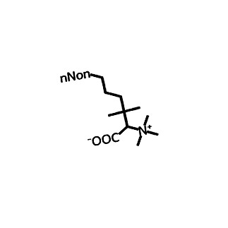 CCCCCCCCCCCCC(C)(C)C(C(=O)[O-])[N+](C)(C)C